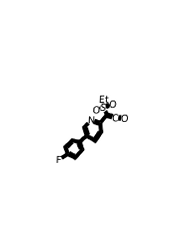 CCS(=O)(=O)C(=C=O)c1ccc(-c2ccc(F)cc2)cn1